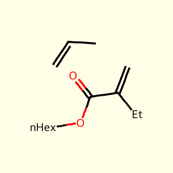 C=C(CC)C(=O)OCCCCCC.C=CC